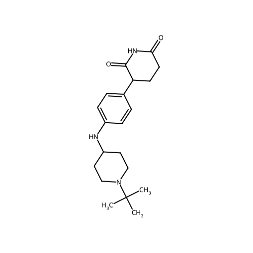 CC(C)(C)N1CCC(Nc2ccc(C3CCC(=O)NC3=O)cc2)CC1